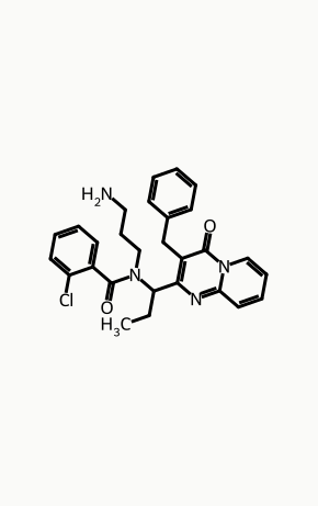 CCC(c1nc2ccccn2c(=O)c1Cc1ccccc1)N(CCCN)C(=O)c1ccccc1Cl